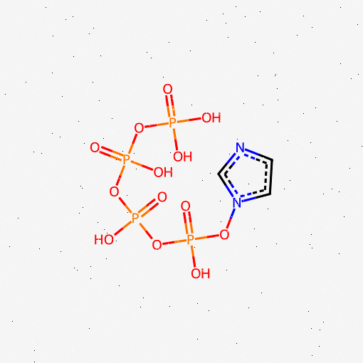 O=P(O)(O)OP(=O)(O)OP(=O)(O)OP(=O)(O)On1ccnc1